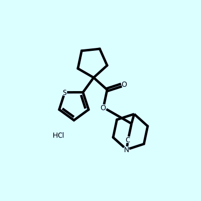 Cl.O=C(OC1CN2CCC1CC2)C1(c2cccs2)CCCC1